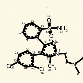 CN(C)CCn1nc(-c2ccccc2S(N)(=O)=O)c(-c2ccc(Cl)cc2Cl)c1C(F)(F)F